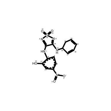 O=[N+]([O-])c1ccc(NC2=NS(=O)(=O)N=C2NC2C=CC=CC2)c(O)c1